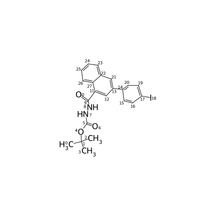 CC(C)(C)OC(=O)NNC(=O)c1cc(-c2ccc(I)cc2)cc2ccccc12